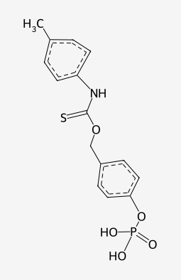 Cc1ccc(NC(=S)OCc2ccc(OP(=O)(O)O)cc2)cc1